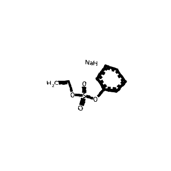 C=COS(=O)(=O)Oc1ccccc1.[NaH]